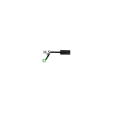 C#C[SiH2]Cl